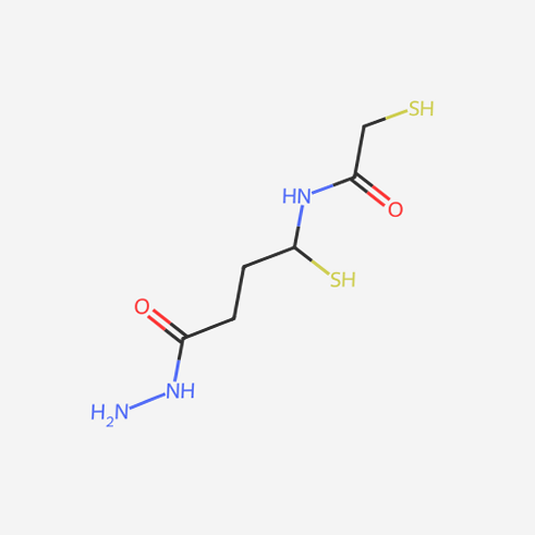 NNC(=O)CCC(S)NC(=O)CS